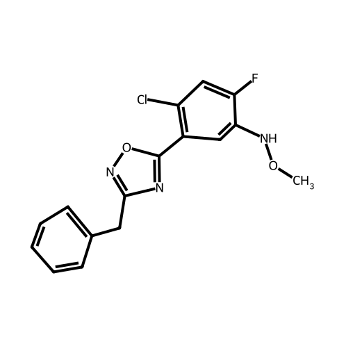 CONc1cc(-c2nc(Cc3ccccc3)no2)c(Cl)cc1F